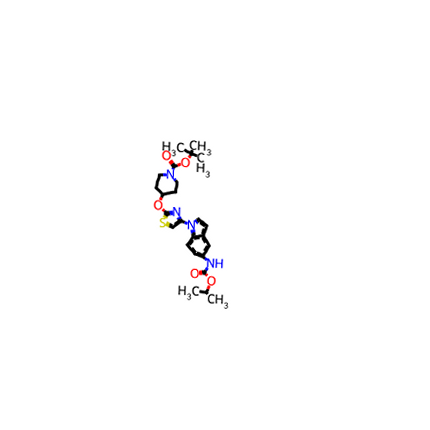 CC(C)OC(=O)Nc1ccc2c(ccn2-c2csc(OC3CCN(C(=O)OC(C)(C)C)CC3)n2)c1